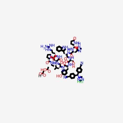 CC(=O)O.CC(=O)[O-].CCNC(=O)[C@@H]1CCCN1C(=O)[C@H](CCCNC(=N)N)NC(=O)[C@H](CC(C)C)NC(=O)[C@@H](CC(C)C)NC(=O)[C@H](Cc1ccc(O)cc1)NC(=O)[C@H](CO)NC(=O)[C@H](Cc1c[nH]c2ccccc12)NC(=O)[C@H](Cc1c[nH]cn1)NC(=O)[C@@H]1CCC(=O)N1.Cl.N#Cc1ccc(C(c2ccc(C#N)cc2)n2cncn2)cc1.[H+]